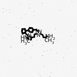 CCCCCc1nc(CCC(C)N)nn1Cc1ccc(-c2ccccc2-c2nnn[nH]2)cc1